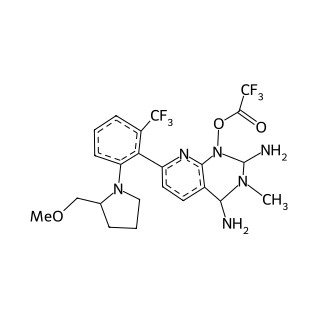 COCC1CCCN1c1cccc(C(F)(F)F)c1-c1ccc2c(n1)N(OC(=O)C(F)(F)F)C(N)N(C)C2N